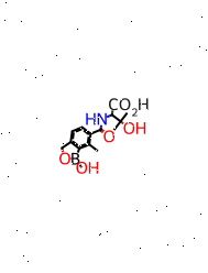 Cc1c(C(=O)NC(C(=O)O)C(C)(C)O)ccc2c1B(O)OC2